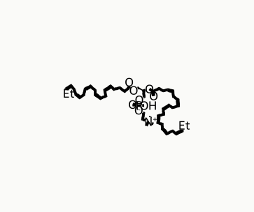 CC/C=C\C/C=C\C/C=C\C/C=C\C/C=C\C/C=C\CCC(=O)O[C@H](COC(=O)CCC/C=C\C/C=C\C/C=C\C/C=C\C/C=C\CC)COP(=O)(O)OCC[N+](C)(C)C